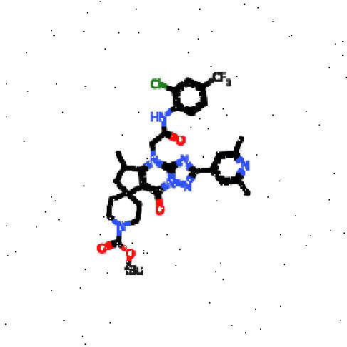 Cc1cc(-c2nc3n(CC(=O)Nc4ccc(C(F)(F)F)cc4Cl)c4c(c(=O)n3n2)C2(CCN(C(=O)OC(C)(C)C)CC2)CC4C)cc(C)n1